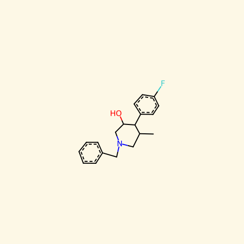 CC1CN(Cc2ccccc2)CC(O)C1c1ccc(F)cc1